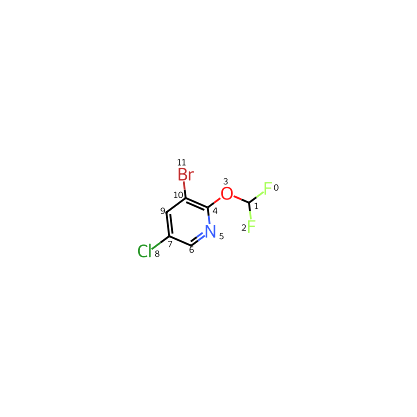 FC(F)Oc1ncc(Cl)cc1Br